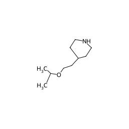 CC(C)OCCC1CCNCC1